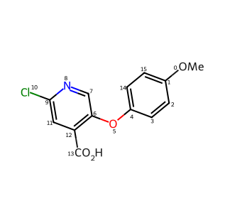 COc1ccc(Oc2cnc(Cl)cc2C(=O)O)cc1